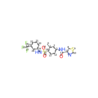 Cc1cc(NC(=O)c2cscn2)ccc1S(=O)(=O)Nc1cccc(C(F)(F)F)c1